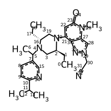 CC[C@H]1CN(C(C)c2ccc(C(C)C)nc2)[C@H](CC)CN1c1cc(=O)n(C)c2cn(CC#N)nc12